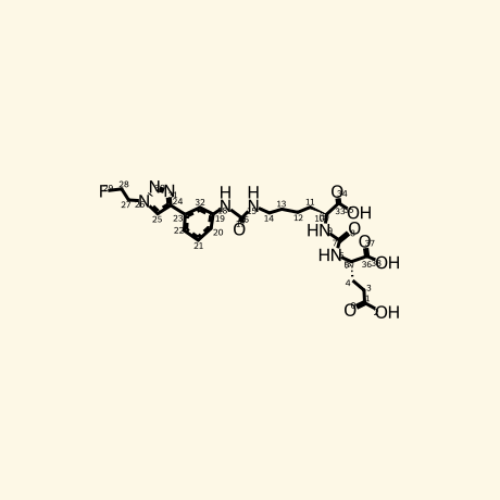 O=C(O)CC[C@H](NC(=O)N[C@@H](CCCCNC(=O)Nc1cccc(-c2cn(CCF)nn2)c1)C(=O)O)C(=O)O